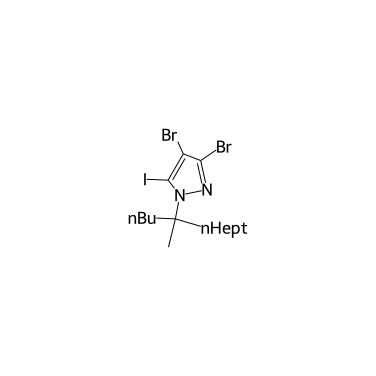 CCCCCCCC(C)(CCCC)n1nc(Br)c(Br)c1I